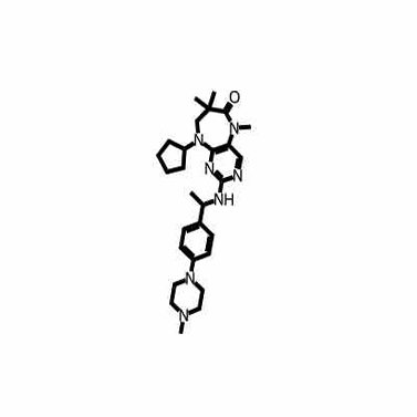 CC(Nc1ncc2c(n1)N(C1CCCC1)CC(C)(C)C(=O)N2C)c1ccc(N2CCN(C)CC2)cc1